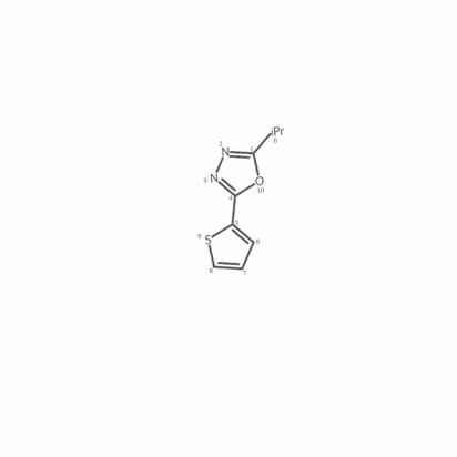 CC(C)c1nnc(-c2cccs2)o1